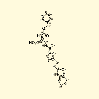 O=C(C=Cc1ccc(C(=O)NC[C@H](NC(=O)OCc2ccccc2)C(=O)O)s1)NC1=NCCCN1